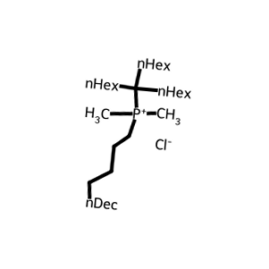 CCCCCCCCCCCCCC[P+](C)(C)C(CCCCCC)(CCCCCC)CCCCCC.[Cl-]